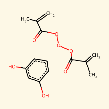 C=C(C)C(=O)OOOC(=O)C(=C)C.Oc1cccc(O)c1